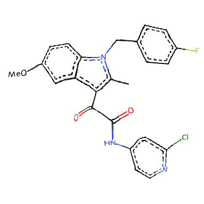 COc1ccc2c(c1)c(C(=O)C(=O)Nc1ccnc(Cl)c1)c(C)n2Cc1ccc(F)cc1